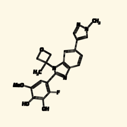 COc1cc(-c2nc3ccc(-c4cnn(C)c4)cc3n2C2(C)COC2)c(F)c(O)c1O